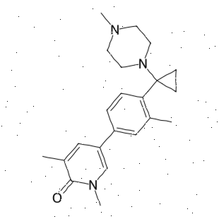 Cc1cc(-c2cc(C)c(=O)n(C)c2)ccc1C1(N2CCN(C)CC2)CC1